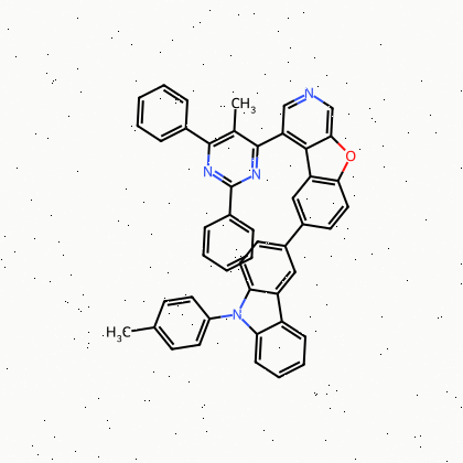 Cc1ccc(-n2c3ccccc3c3cc(-c4ccc5oc6cncc(-c7nc(-c8ccccc8)nc(-c8ccccc8)c7C)c6c5c4)ccc32)cc1